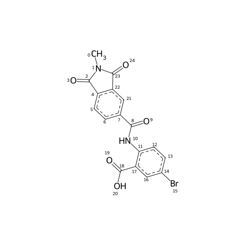 CN1C(=O)c2ccc(C(=O)Nc3ccc(Br)cc3C(=O)O)cc2C1=O